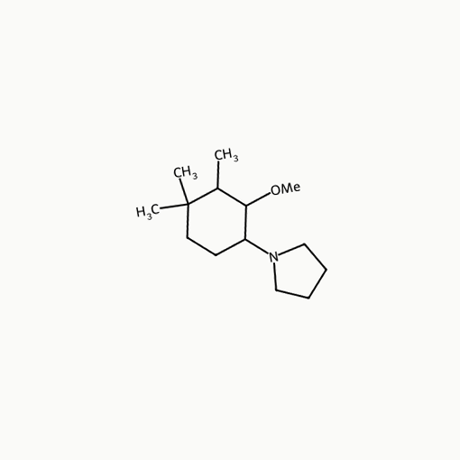 COC1C(N2CCCC2)CCC(C)(C)C1C